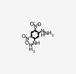 NNc1cc(NN)c([N+](=O)[O-])cc1[N+](=O)[O-]